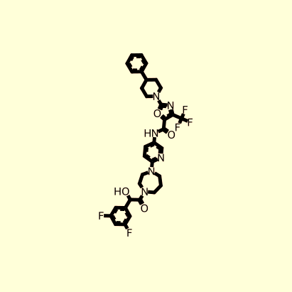 O=C(Nc1ccc(N2CCCN(C(=O)C(O)c3cc(F)cc(F)c3)CC2)nc1)c1oc(N2CCC(c3ccccc3)CC2)nc1C(F)(F)F